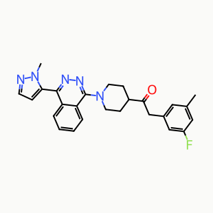 Cc1cc(F)cc(CC(=O)C2CCN(c3nnc(-c4ccnn4C)c4ccccc34)CC2)c1